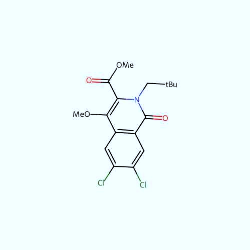 COC(=O)c1c(OC)c2cc(Cl)c(Cl)cc2c(=O)n1CC(C)(C)C